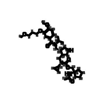 COCCCOc1cc(C(=O)N(C[C@@H]2CNC[C@H]2CN(C(=O)OCC2(NC(C)=O)CCCC2)C2CC2)C(C)C)ccc1OC